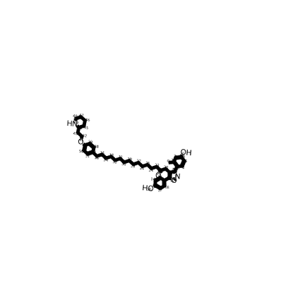 Cc1cc(O)ccc1-c1noc(-c2ccc(O)cc2)c1CC(=O)CCCCCCCCCCCCCCc1ccc(OCCC2CCCCN2)cc1